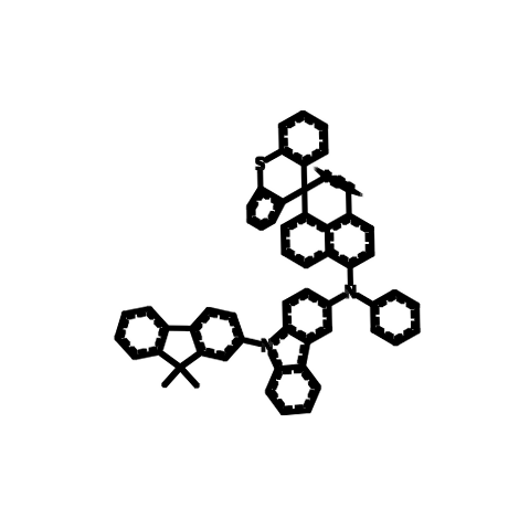 CC1(C)c2ccccc2-c2ccc(-n3c4ccccc4c4cc(N(c5ccccc5)c5ccc6c7c(cccc57)C5(c7ccccc7Sc7ccccc75)c5ccccc5-6)ccc43)cc21